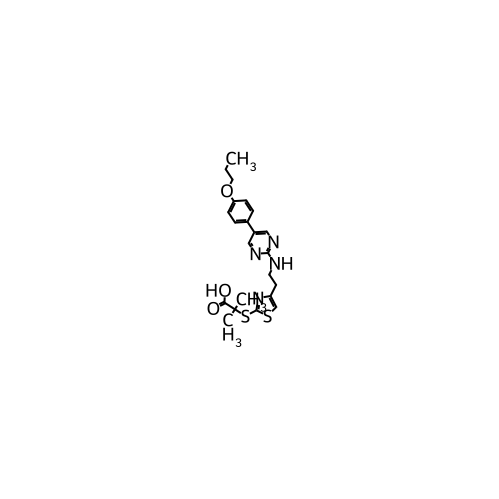 CCCOc1ccc(-c2cnc(NCCc3csc(SC(C)(C)C(=O)O)n3)nc2)cc1